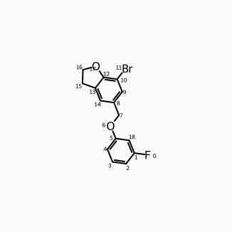 Fc1cccc(OCc2cc(Br)c3c(c2)CCO3)c1